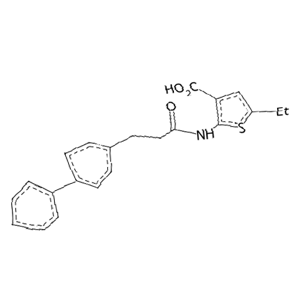 CCc1cc(C(=O)O)c(NC(=O)CCc2ccc(-c3ccccc3)cc2)s1